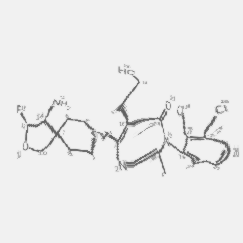 Cc1nc(N2CCC3(CC2)CO[C@@H](F)[C@H]3N)c(CCO)c(=O)n1-c1cccc(Cl)c1Cl